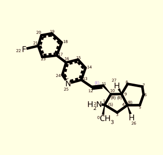 C[C@]1(N)C[C@H]2CCCC[C@H]2[C@@H]1/C=C/c1ccc(-c2cccc(F)c2)cn1